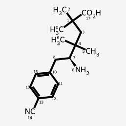 CC(C)(CC(C)(C)[C@@H](N)Cc1ccc(C#N)cc1)C(=O)O